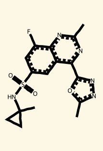 Cc1nc(-c2nnc(C)o2)c2cc(S(=O)(=O)NC3(C)CC3)cc(F)c2n1